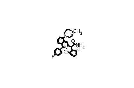 CN1CCCN(c2cccc3c(-c4ccc(F)cc4)nc(C(C(N)=O)c4c(Cl)cccc4Cl)cc23)CC1